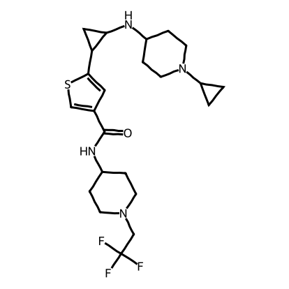 O=C(NC1CCN(CC(F)(F)F)CC1)c1csc(C2CC2NC2CCN(C3CC3)CC2)c1